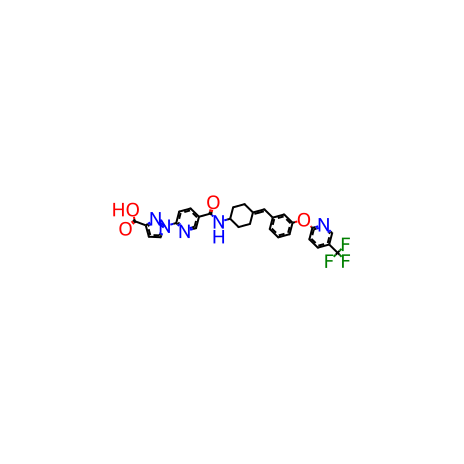 O=C(NC1CCC(=Cc2cccc(Oc3ccc(C(F)(F)F)cn3)c2)CC1)c1ccc(-n2ccc(C(=O)O)n2)nc1